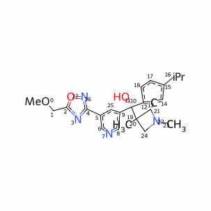 COCc1nc(-c2cncc([C@@](O)(c3ccc(C(C)C)cc3)C3(C)CN(C)C3)c2)no1